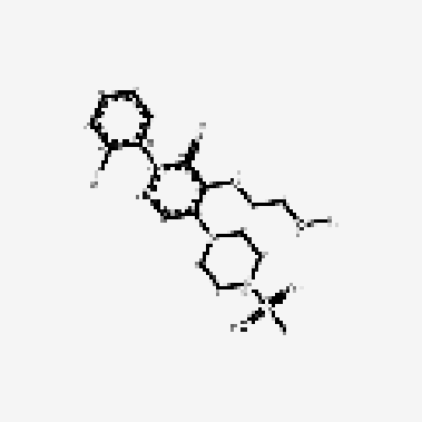 CCOCCOc1c(N2CCN(S(C)(=O)=O)CC2)cnn(-c2ccccc2F)c1=O